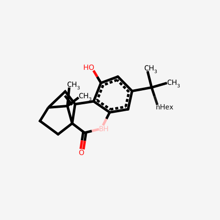 CCCCCCC(C)(C)c1cc(O)c2c(c1)BC(=O)C13CCC(C=C21)C3(C)C